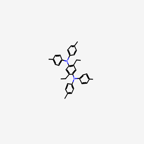 CCc1cc(N(c2ccc(C)cc2)c2ccc(C)cc2)c(CC)cc1N(c1ccc(C)cc1)c1ccc(C)cc1